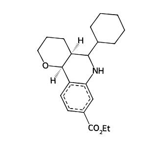 CCOC(=O)c1ccc2c(c1)NC(C1CCCCC1)[C@@H]1CCCO[C@H]21